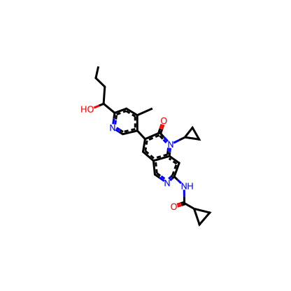 CCCC(O)c1cc(C)c(-c2cc3cnc(NC(=O)C4CC4)cc3n(C3CC3)c2=O)cn1